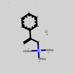 C=C(C[N+](CCCCCC)(CCCCCC)CCCCCC)c1ccccc1.[Cl-]